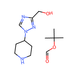 CC(C)(C)OC=O.OCc1ncn(C2CCNCC2)n1